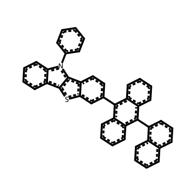 c1ccc(-n2c3ccccc3c3sc4cc(-c5c6ccccc6c(-c6cccc7ccccc67)c6ccccc56)ccc4c32)cc1